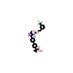 Cc1noc(-c2ccc(-c3ccc(C4(C(=O)O)CC4)cc3)cc2)c1NC(=O)OCCc1cccc(C(F)(F)F)c1